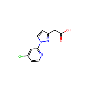 O=C(O)Cc1ccn(-c2cc(Cl)ccn2)n1